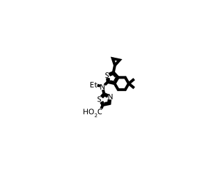 CCN(c1ncc(C(=O)O)s1)c1sc(C2CC2)c2c1CCC(C)(C)C2